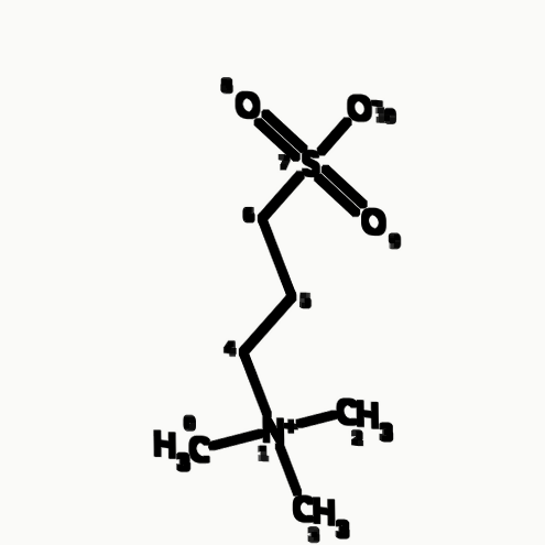 C[N+](C)(C)CCCS(=O)(=O)[O-]